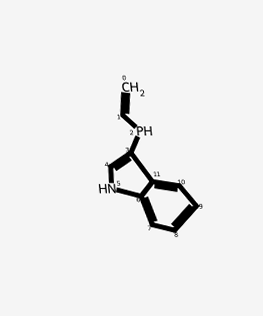 C=CPc1c[nH]c2ccccc12